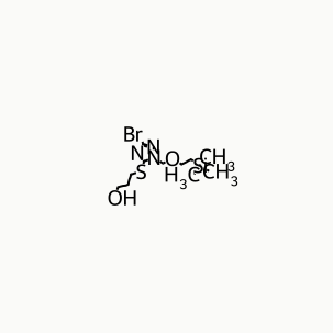 C[Si](C)(C)CCOCn1nc(Br)nc1SCCCO